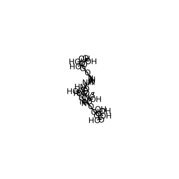 CN[C@@H](Cc1cn(CCOCCOC2OC(C(=O)O)C(O)[C@H](O)[C@@H]2O)nn1)C(=O)N[C@@H](CC(=O)O)C(=O)N[C@@H](Cc1cn(CCOCCOC2OC(C(=O)O)C(O)[C@H](O)[C@@H]2O)nn1)C(=O)N[C@@H](CSC)C(=O)O